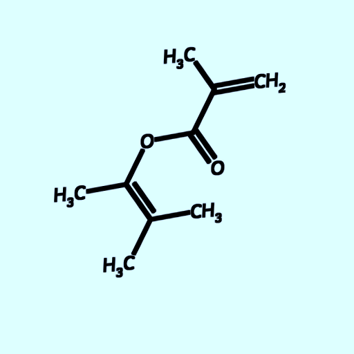 C=C(C)C(=O)OC(C)=C(C)C